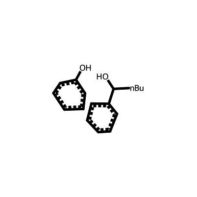 CCCCC(O)c1ccccc1.Oc1ccccc1